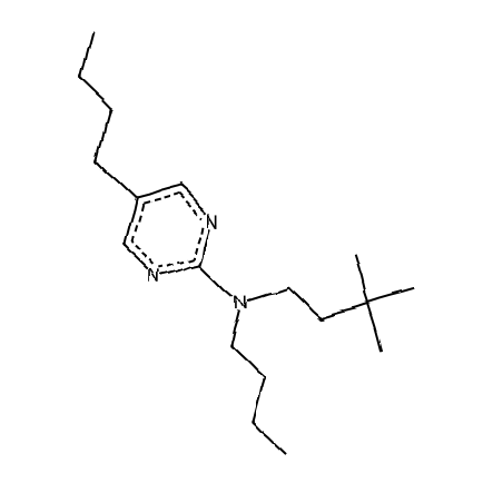 CCCCc1cnc(N(CCCC)CCC(C)(C)C)nc1